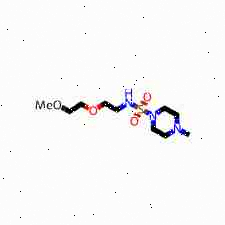 COCCOCCNS(=O)(=O)N1CCN(C)CC1